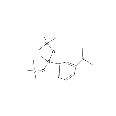 CN(C)c1cccc([Si](C)(O[Si](C)(C)C)O[Si](C)(C)C)c1